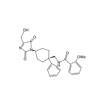 COc1ccccc1C(=O)NC[C@]1(c2ccccc2)CC[C@H](N2C(=O)N=C(CO)C2=O)CC1